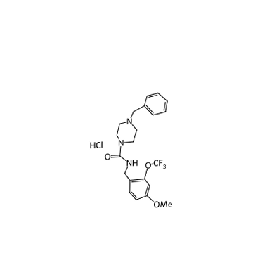 COc1ccc(CNC(=O)N2CCN(Cc3ccccc3)CC2)c(OC(F)(F)F)c1.Cl